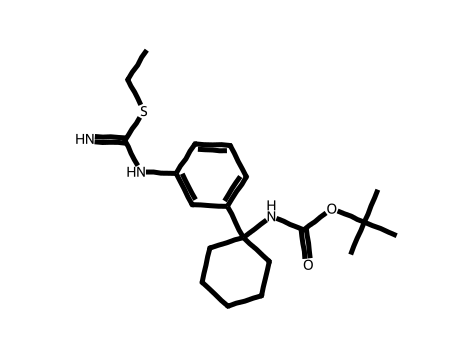 CCSC(=N)Nc1cccc(C2(NC(=O)OC(C)(C)C)CCCCC2)c1